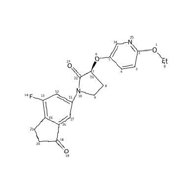 CCOc1ccc(O[C@H]2CCN(c3cc(F)c4c(c3)C(=O)CC4)C2=O)cn1